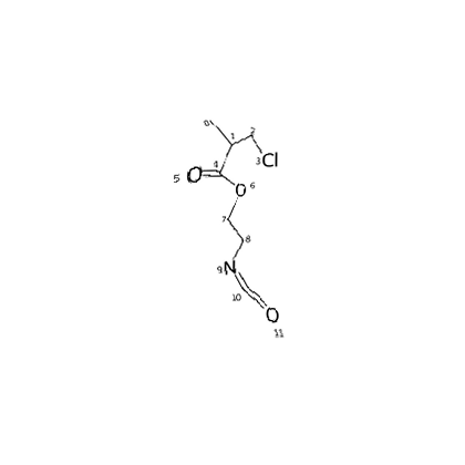 CC(CCl)C(=O)OCCN=C=O